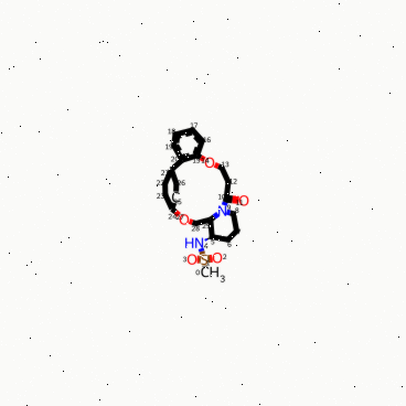 CS(=O)(=O)N[C@H]1CCCN2C(=O)CCOc3ccccc3C3CCC(CC3)OCC12